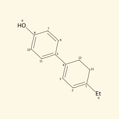 CCC1=CC=C(c2ccc(O)cc2)CC1